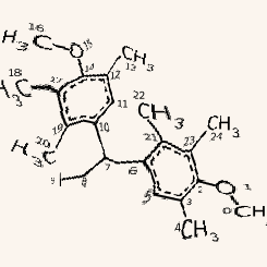 COc1c(C)cc(C(CI)c2cc(C)c(OC)c(C)c2C)c(C)c1C